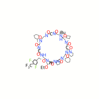 CCO[C@@H]1C[C@H]2C(=O)NC3(CCCC3)C(=O)N(C)[C@@H](C3CCCCC3)C(=O)N(C)[C@H](C(=O)N3CCCC3)CC(=O)N(C)[C@@H](C3CCC3)C(=O)N[C@@H]([C@@H](C)CC)C(=O)N(C)CC(=O)N(C)CC(=O)N(C)[C@@H](CC3CCCCC3)C(=O)N(C)CC(=O)N[C@@H](CCc3cc(F)c(C(F)(F)F)c(F)c3)C(=O)N2C1